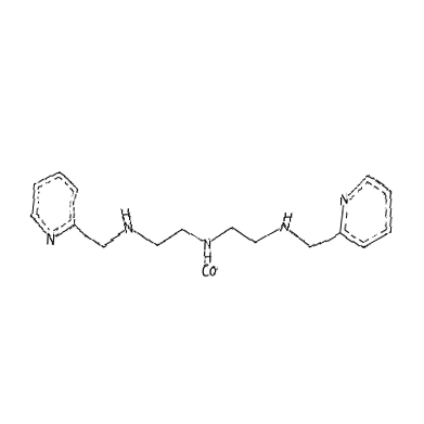 [Co].c1ccc(CNCCNCCNCc2ccccn2)nc1